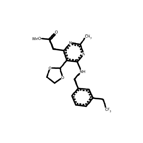 COC(=O)Cc1nc(C)nc(NCc2cccc(CC(F)(F)F)c2)c1C1OCCO1